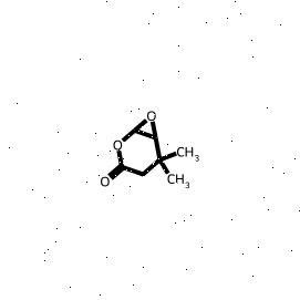 CC1(C)CC(=O)OC2OC21